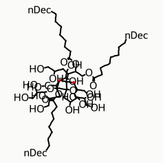 CCCCCCCCCCCCCCCCCC(=O)OCC(OC(=O)CCCCCCCCCCCCCCCCC)C(CC(O)CO)C(CC(O)CO)(CC(CO)OC(=O)CCCCCCCCCCCCCCCCC)C(CC(O)CO)(OCC(O)CO)C(CC(O)CO)(CC(O)CO)OCC(O)CO